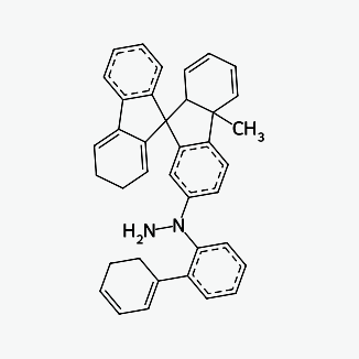 CC12C=CC=CC1C1(C3=CCCC=C3c3ccccc31)c1cc(N(N)c3ccccc3C3=CC=CCC3)ccc12